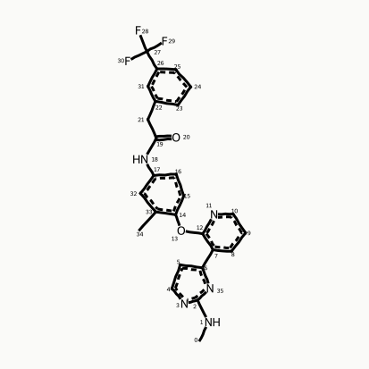 CNc1nccc(-c2cccnc2Oc2ccc(NC(=O)Cc3cccc(C(F)(F)F)c3)cc2C)n1